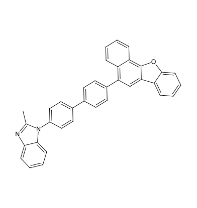 Cc1nc2ccccc2n1-c1ccc(-c2ccc(-c3cc4c5ccccc5oc4c4ccccc34)cc2)cc1